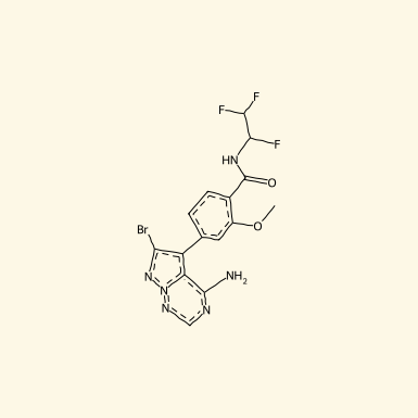 COc1cc(-c2c(Br)nn3ncnc(N)c23)ccc1C(=O)NC(F)C(F)F